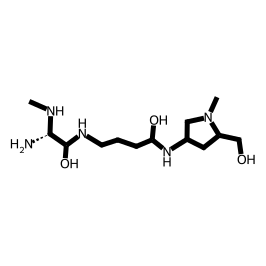 CN[C@@H](N)C(O)NCCCC(O)NC1CC(CO)N(C)C1